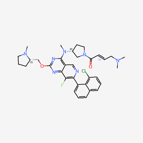 CN(C)C/C=C/C(=O)N1CC[C@@H](N(C)c2nc(OC[C@@H]3CCCN3C)nc3c(F)c(-c4cccc5cccc(Cl)c45)ncc23)C1